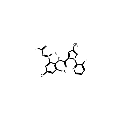 Cc1cc(Cl)cc(S(C)=NC(=O)C(F)(F)F)c1NC(=O)c1cc(C(F)(F)F)nn1-c1ncccc1Cl